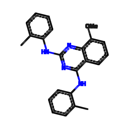 COc1cccc2c(Nc3ccccc3C)nc(Nc3ccccc3C)nc12